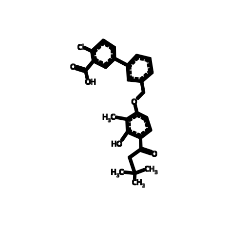 Cc1c(OCc2cccc(-c3ccc(Cl)c(C(=O)O)c3)c2)ccc(C(=O)CC(C)(C)C)c1O